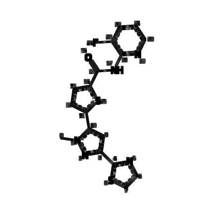 Cn1nc(-c2nccs2)cc1-c1ccc(C(=O)Nc2ncccc2F)s1